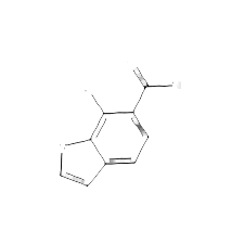 NC(=O)c1ccc2cc[nH]c2c1Br